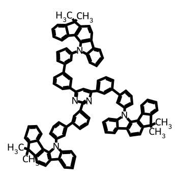 CC1(C)c2ccccc2-c2c1ccc1c3ccccc3n(-c3cccc(-c4cccc(-c5cc(-c6cccc(-c7cccc(-n8c9ccccc9c9ccc%10c(c98)-c8ccccc8C%10(C)C)c7)c6)nc(-c6cccc(-c7cccc(-n8c9ccccc9c9ccc%10c(c98)-c8ccccc8C%10(C)C)c7)c6)n5)c4)c3)c21